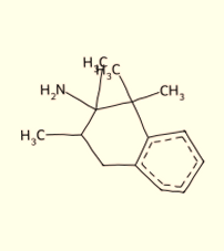 CC1Cc2ccccc2C(C)(C)C1(C)N